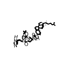 CC(C)CCC[C@@H](C)[C@H]1CCC2C3CC=C4CC(OC(=O)N[C@H]5C[C@@H](C(=O)NCCc6cnc[nH]6)N(C(=O)OC(C)(C)C)C5)CC[C@]4(C)C3CC[C@@]21C